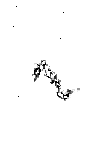 C[C@H](c1ccc(F)cc1)n1cncc1CN1CCN(S(=O)(=O)c2cnc(N3CCN4CCC(O)[C@H]4C3)s2)CC1